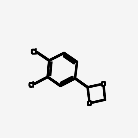 Clc1ccc(C2OCO2)cc1Cl